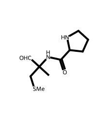 CSCC(C)(C=O)NC(=O)C1CCCN1